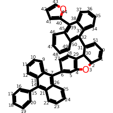 C1=CC2Oc3cc(-c4c5ccccc5c(-c5ccccc5)c5ccccc45)ccc3C2C(c2c3ccccc3c(-c3ccco3)c3ccccc23)=C1